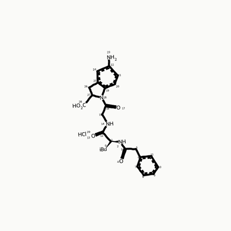 CC[C@H](C)[C@H](NC(=O)Cc1ccccc1)C(=O)NCC(=O)N1c2ccc(N)cc2CC1C(=O)O.Cl